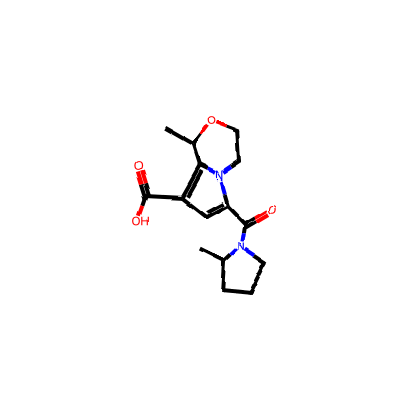 CC1OCCn2c(C(=O)N3CCCC3C)cc(C(=O)O)c21